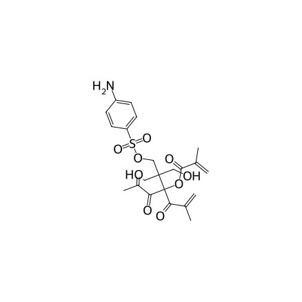 C=C(C)C(=O)OC(C(=O)C(=C)C)(C(=O)C(=C)C)C(CO)(CO)COS(=O)(=O)c1ccc(N)cc1